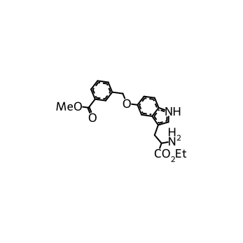 CCOC(=O)C(N)Cc1c[nH]c2ccc(OCc3cccc(C(=O)OC)c3)cc12